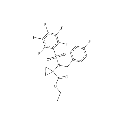 CCOC(=O)C1(N(Cc2ccc(F)cc2)S(=O)(=O)c2c(F)c(F)c(F)c(F)c2F)CC1